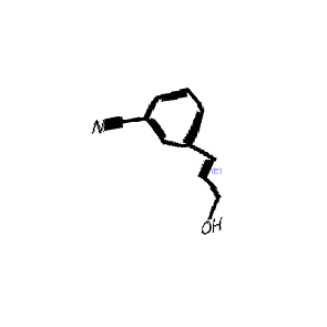 N#Cc1cccc(/C=C/CO)c1